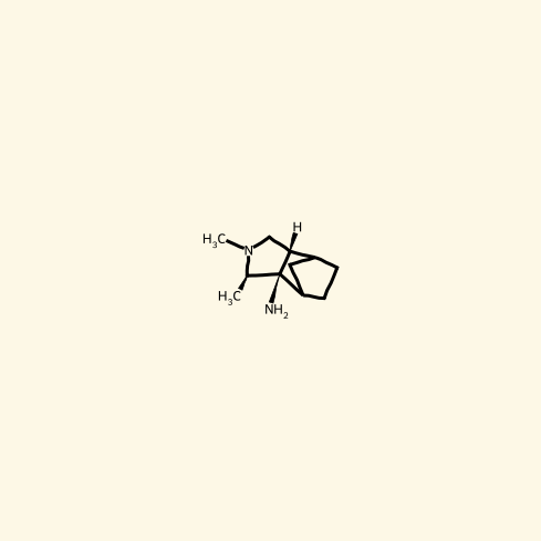 C[C@H]1N(C)C[C@@H]2C3CCC(C3)[C@@]21N